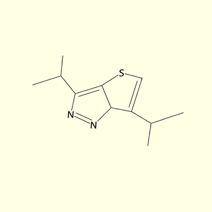 CC(C)C1=CSC2=C(C(C)C)N=NC12